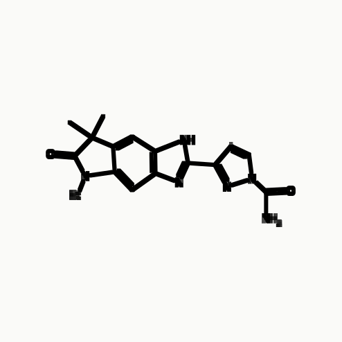 CCN1C(=O)C(C)(C)c2cc3[nH]c(-c4[c]cn(C(N)=O)n4)nc3cc21